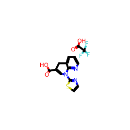 O=C(O)C(F)(F)F.O=C(O)C1=CN(c2nccs2)c2ncccc2C1